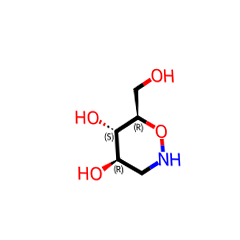 OC[C@H]1ONC[C@@H](O)[C@@H]1O